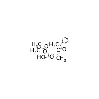 CC(COC(=O)C(C)c1ccccc1)COC(CO)COC(=O)C(C)C